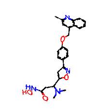 Cc1cc(COc2ccc(C3=NOC(C(CC(=O)NO)N(C)C)C3)cc2)c2ccccc2n1